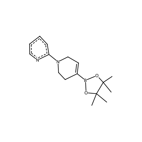 CC1(C)OB(C2=CCN(c3ccccn3)CC2)OC1(C)C